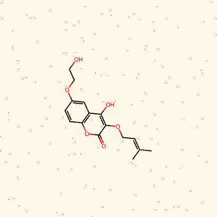 CC(C)=CCOc1c(O)c2cc(OCCO)ccc2oc1=O